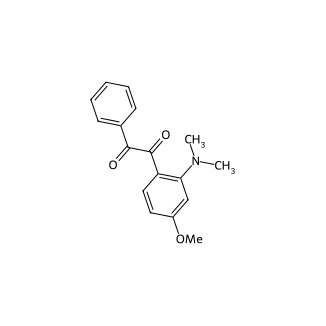 COc1ccc(C(=O)C(=O)c2ccccc2)c(N(C)C)c1